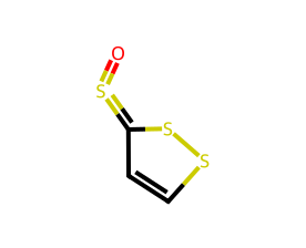 O=S=c1ccss1